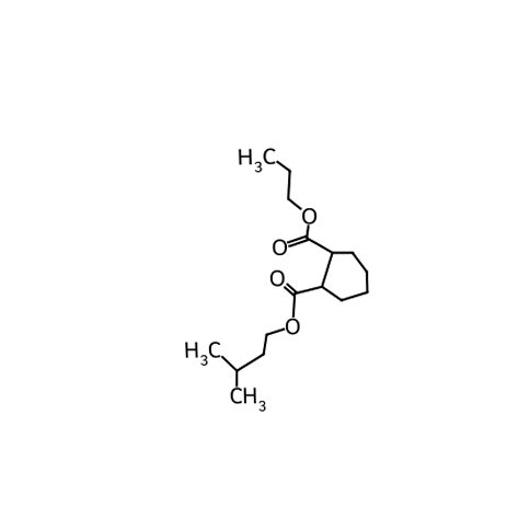 CCCOC(=O)C1CCCCC1C(=O)OCCC(C)C